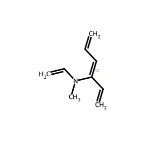 C=C/C=C(/C=C)N(C)C=C